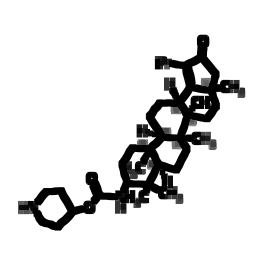 CC(C)C1=C2[C@H]3CC[C@@H]4[C@@]5(C)CCC(NC(=O)OC6CCNCC6)C(C)(C)[C@@H]5CC[C@@]4(C)[C@]3(C)CC[C@@]2(C)CC1=O